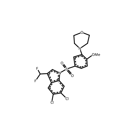 COc1ccc(S(=O)(=O)n2cc(C(F)F)c3cc(Cl)c(Cl)cc32)cc1N1CCOCC1